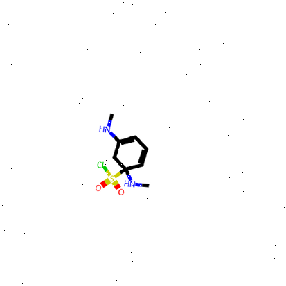 CNC1=CC=CC(NC)(S(=O)(=O)Cl)C1